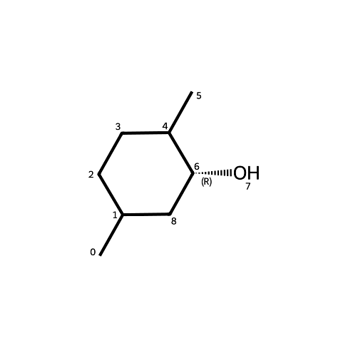 CC1CCC(C)[C@H](O)C1